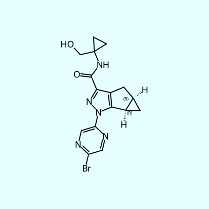 O=C(NC1(CO)CC1)c1nn(-c2cnc(Br)cn2)c2c1C[C@H]1C[C@@H]21